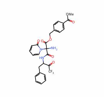 COC(=O)c1ccc(COC(=O)C(N)(C(=O)NC(Cc2ccccc2)C(=O)C(F)(F)F)n2ccccc2=O)cc1